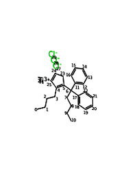 CCCCC1=C(C(CCCC)(c2ccccc2)c2ccccc2)CC=[C]1[Ti+3].[Cl-].[Cl-].[Cl-]